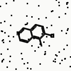 Cc1c(Cl)ccc2cnccc12